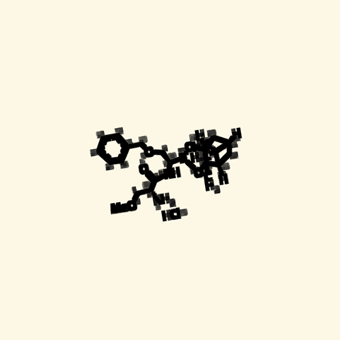 COC[C@@H](N)C(=O)N[C@@H](COCc1ccccc1)B1O[C@@H]2C[C@@H]3C[C@@H](C3(C)C)[C@]2(C)O1.Cl